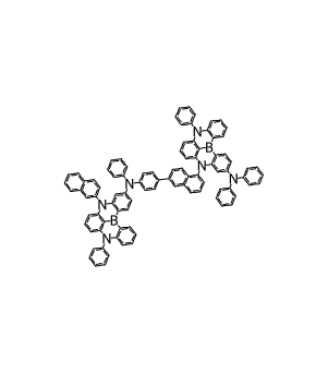 c1ccc(N(c2ccc(-c3ccc4c(N5c6cc(N(c7ccccc7)c7ccccc7)ccc6B6c7ccccc7N(c7ccccc7)c7cccc5c76)cccc4c3)cc2)c2ccc3c(c2)N(c2ccc4ccccc4c2)c2cccc4c2B3c2ccccc2N4c2ccccc2)cc1